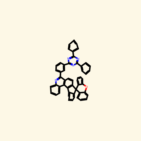 c1ccc(-c2nc(-c3ccccc3)nc(-c3cccc(-c4nc5ccccc5c5c6c(ccc45)C4(c5ccccc5Oc5ccccc54)c4ccccc4-6)c3)n2)cc1